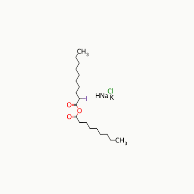 CCCCCCCCC(=O)OC(=O)C(I)CCCCCCCC.[Cl][K].[NaH]